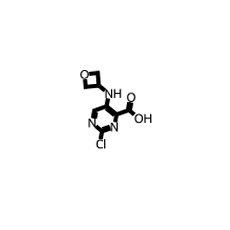 O=C(O)c1nc(Cl)ncc1NC1COC1